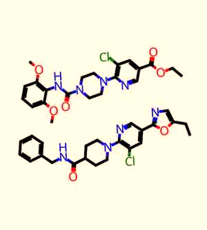 CCOC(=O)c1cnc(N2CCN(C(=O)Nc3c(OC)cccc3OC)CC2)c(Cl)c1.CCc1cnc(-c2cnc(N3CCC(C(=O)NCc4ccccc4)CC3)c(Cl)c2)o1